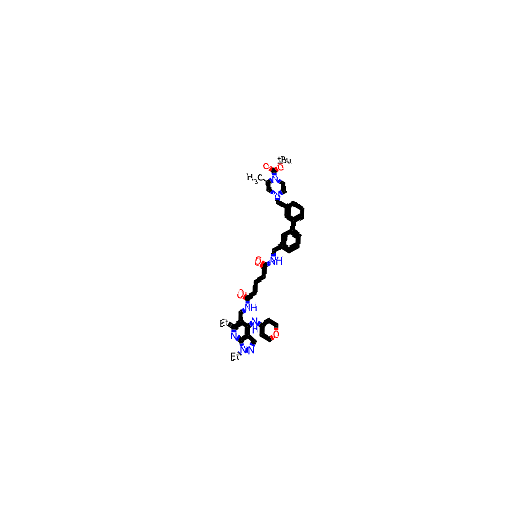 CCc1nc2c(cnn2CC)c(NC2CCOCC2)c1CNC(=O)CCCC(=O)NCc1cccc(-c2cccc(CN3CCN(C(=O)OC(C)(C)C)[C@@H](C)C3)c2)c1